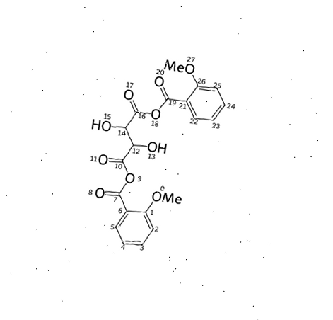 COc1ccccc1C(=O)OC(=O)C(O)C(O)C(=O)OC(=O)c1ccccc1OC